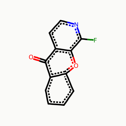 O=c1c2ccccc2oc2c(F)nccc12